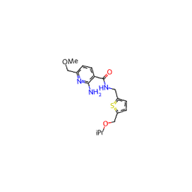 COCc1ccc(C(=O)NCc2ccc(COC(C)C)s2)c(N)n1